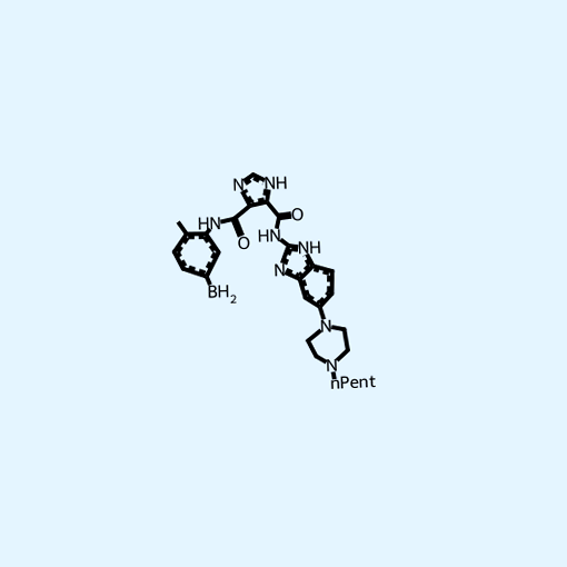 Bc1ccc(C)c(NC(=O)c2nc[nH]c2C(=O)Nc2nc3cc(N4CCN(CCCCC)CC4)ccc3[nH]2)c1